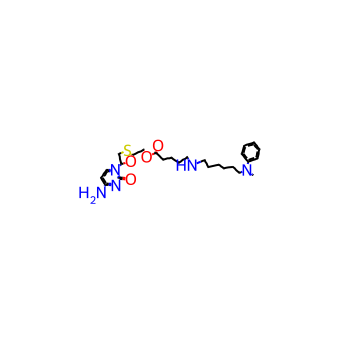 CN(CCCCCCNCCCCC(=O)OCC1OC(n2ccc(N)nc2=O)CS1)c1ccccc1